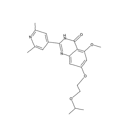 COc1cc(OCCOC(C)C)cc2nc(-c3cc(C)nc(C)c3)[nH]c(=O)c12